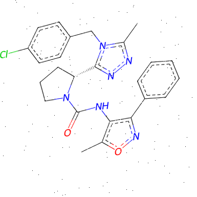 Cc1onc(-c2ccccc2)c1NC(=O)N1CCC[C@@H]1c1nnc(C)n1Cc1ccc(Cl)cc1